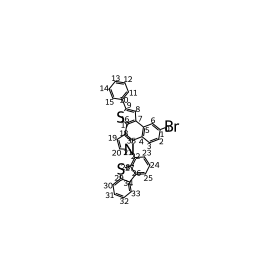 Brc1ccc2c(c1)c1cc(-c3ccccc3)sc1c1ccn(-c3cccc4c3sc3ccccc34)c21